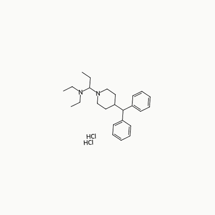 CCC(N(CC)CC)N1CCC(C(c2ccccc2)c2ccccc2)CC1.Cl.Cl